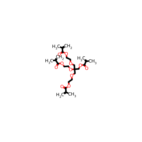 C=C(C)C(=O)OCCOCC(COCCOC(=O)C(=C)C)(COC(=O)C(=C)C)OCCOC(=O)C(=C)C